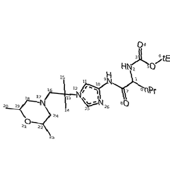 CCCC(NC(=O)OC(C)(C)C)C(=O)Nc1cn(C(C)(C)CN2CC(C)OC(C)C2)cn1